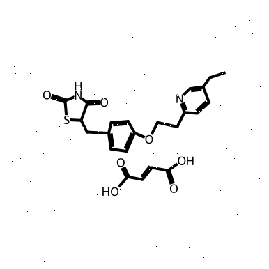 CCc1ccc(CCOc2ccc(CC3SC(=O)NC3=O)cc2)nc1.O=C(O)C=CC(=O)O